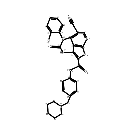 N#Cc1cnc2sc(C(=O)Nc3ccc(CN4CCCCC4)cc3)c3c2c1N(c1ccccc1Cl)C(=O)N3